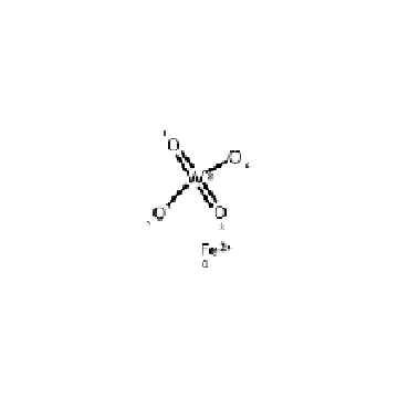 [Fe+2].[O]=[W](=[O])([O-])[O-]